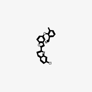 Cc1cccc(C#N)c1Oc1ccc2oc(-c3ccc4ccc(Cl)cc4n3)cc2c1